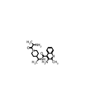 Cc1nc2ccccc2c(C(=O)NC(C)C2CCN(C(=O)C(C)N)CC2)c1N